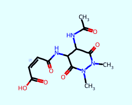 CC(=O)NC1C(=O)N(C)N(C)C(=O)C1NC(=O)/C=C\C(=O)O